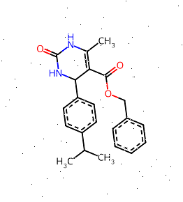 CC1=C(C(=O)OCc2ccccc2)C(c2ccc(C(C)C)cc2)NC(=O)N1